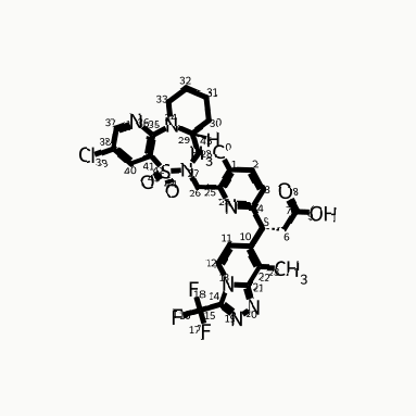 Cc1ccc([C@H](CC(=O)O)c2ccn3c(C(F)(F)F)nnc3c2C)nc1CN1C[C@H]2CCCCN2c2ncc(Cl)cc2S1(=O)=O